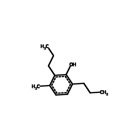 CCCc1ccc(C)c(CCC)c1O